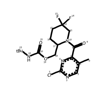 Cc1cnc(Cl)nc1C(=O)N1CC(F)(F)CCC1COC(=O)NC(C)(C)C